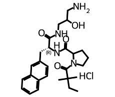 CCC(C)(C)C(=O)N1CCCC1C(=O)N[C@H](Cc1ccc2ccccc2c1)C(=O)NCC(O)CN.Cl